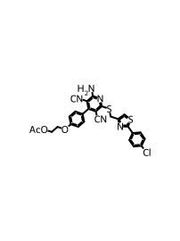 [C-]#[N+]c1c(N)nc(SCc2csc(-c3ccc(Cl)cc3)n2)c(C#N)c1-c1ccc(OCCOC(C)=O)cc1